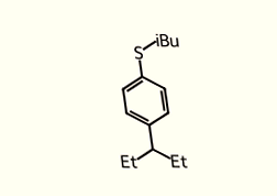 CCC(C)Sc1ccc(C(CC)CC)cc1